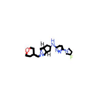 F[C@@H]1CCN(c2ccc(N[C@H]3C[C@@H]4CN(CC5CCOCC5)C[C@@H]4C3)nn2)C1